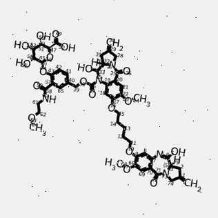 C=C1C[C@H]2C(O)=Nc3cc(OCCCCCOc4cc5c(cc4OC)C(=O)N4CC(=C)C[C@H]4C(O)N5C(=O)OCc4ccc(O[C@@H]5O[C@H](C(=O)O)[C@@H](O)[C@H](O)[C@H]5O)c(C(=O)NCCOC)c4)c(OC)cc3C(=O)N2C1